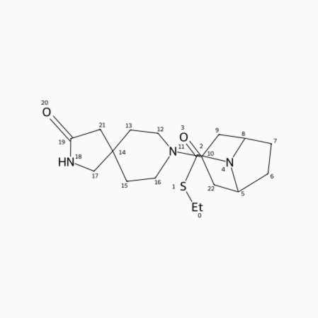 CCSC(=O)N1C2CCC1CC(N1CCC3(CC1)CNC(=O)C3)C2